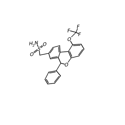 NS(=O)(=O)Cc1ccc2c(c1)C(c1ccccc1)Oc1cccc(OC(F)(F)F)c1-2